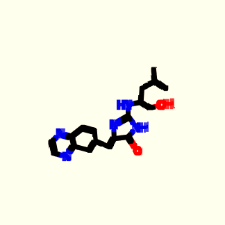 CC(C)CC(CO)NC1=N/C(=C\c2ccc3nccnc3c2)C(=O)N1